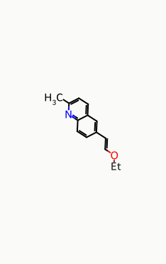 CCOC=Cc1ccc2nc(C)ccc2c1